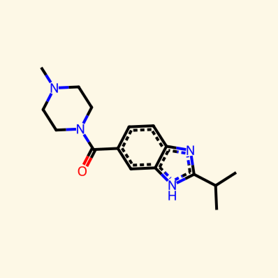 CC(C)c1nc2ccc(C(=O)N3CCN(C)CC3)cc2[nH]1